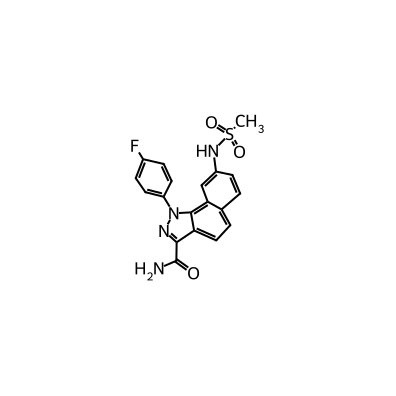 CS(=O)(=O)Nc1ccc2ccc3c(C(N)=O)nn(-c4ccc(F)cc4)c3c2c1